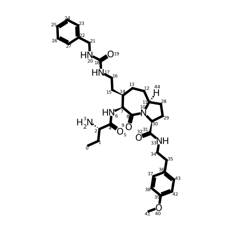 CC[C@H](N)C(=O)N[C@@H]1C(=O)N2[C@@H](CC[C@@H]1CCNC(=O)NCc1ccccc1)CC[C@H]2C(=O)NCCc1ccc(OC)cc1